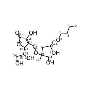 CCCCOCC(O)CC(C)(CO)OOC1=C(O)C(=O)O[C@@H]1[C@@H](O)CO